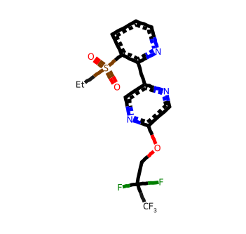 CCS(=O)(=O)c1cccnc1-c1cnc(OCC(F)(F)C(F)(F)F)cn1